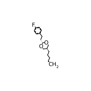 C=CCCC[C@H]1CO[C@H](CCc2ccc(F)cc2)OC1